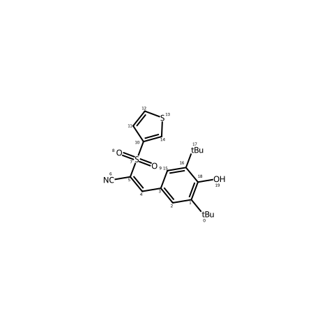 CC(C)(C)c1cc(C=C(C#N)S(=O)(=O)c2ccsc2)cc(C(C)(C)C)c1O